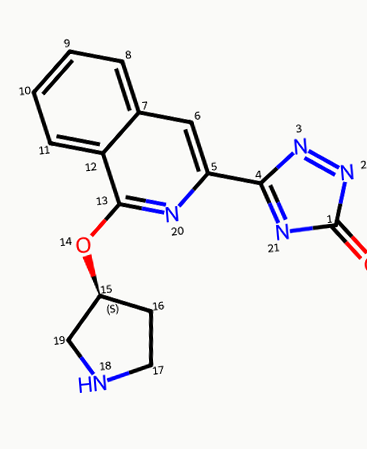 O=C1N=NC(c2cc3ccccc3c(O[C@H]3CCNC3)n2)=N1